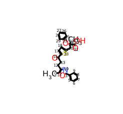 Cc1oc(-c2ccccc2)nc1CCC(=O)c1ccc(CC(C)(Oc2ccccc2)C(=O)O)s1